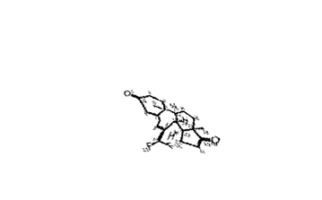 C[C@]12CCC(=O)CC1CC(=C(F)F)[C@@H]1[C@@H]2CC[C@]2(C)C(=O)CC[C@@H]12